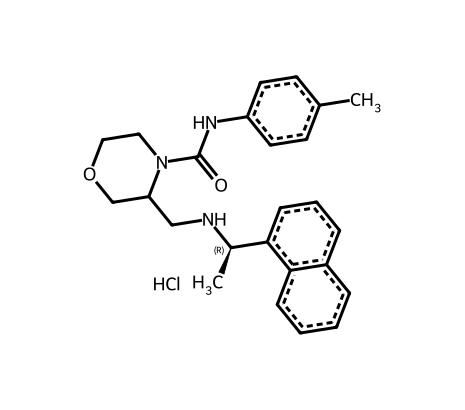 Cc1ccc(NC(=O)N2CCOCC2CN[C@H](C)c2cccc3ccccc23)cc1.Cl